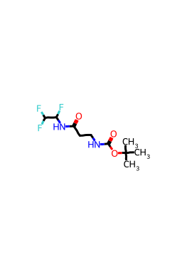 CC(C)(C)OC(=O)NCCC(=O)NC(F)C(F)F